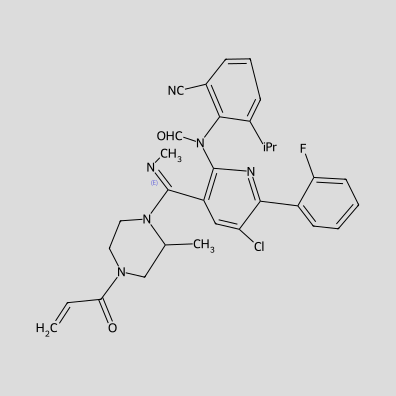 C=CC(=O)N1CCN(/C(=N/C)c2cc(Cl)c(-c3ccccc3F)nc2N(C=O)c2c(C#N)cccc2C(C)C)C(C)C1